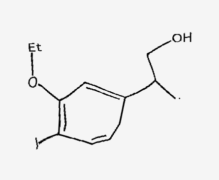 [CH2]C(CO)c1ccc(I)c(OCC)c1